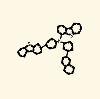 c1cc(-c2ccc3ccccc3c2)cc(N(c2ccc(-c3ccc4c(c3)sc3ccccc34)cc2)c2cccc3c2sc2ccccc23)c1